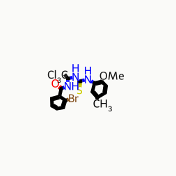 COc1ccc(C)cc1NC(=S)NC(NC(=O)c1ccccc1Br)C(Cl)(Cl)Cl